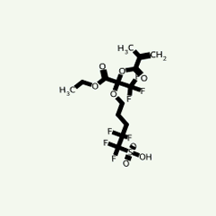 C=C(C)C(=O)OC(OCCCC(F)(F)C(F)(F)S(=O)(=O)O)(C(=O)OCC)C(F)(F)F